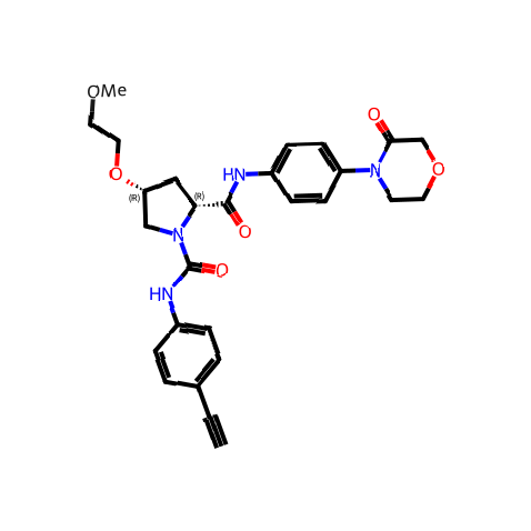 C#Cc1ccc(NC(=O)N2C[C@H](OCCOC)C[C@@H]2C(=O)Nc2ccc(N3CCOCC3=O)cc2)cc1